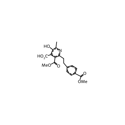 COC(=O)c1ccc(CCc2nc(C)c(O)c(C(=O)O)c2C(=O)OC)cc1